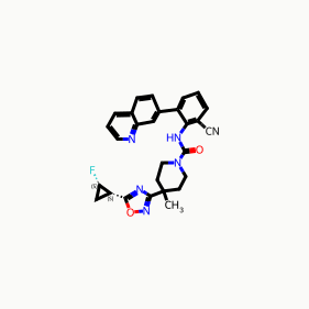 CC1(c2noc([C@@H]3C[C@@H]3F)n2)CCN(C(=O)Nc2c(C#N)cccc2-c2ccc3cccnc3c2)CC1